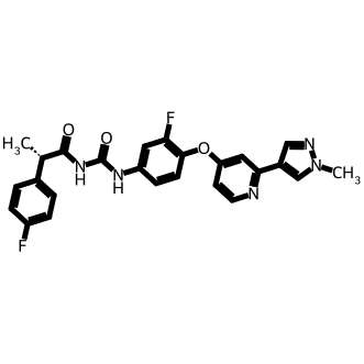 C[C@H](C(=O)NC(=O)Nc1ccc(Oc2ccnc(-c3cnn(C)c3)c2)c(F)c1)c1ccc(F)cc1